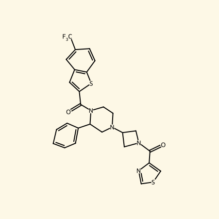 O=C(c1cscn1)N1CC(N2CCN(C(=O)c3cc4cc(C(F)(F)F)ccc4s3)C(c3ccccc3)C2)C1